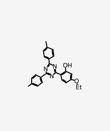 CCOc1ccc(-c2nc(-c3ccc(C)cc3)nc(-c3ccc(C)cc3)n2)c(O)c1